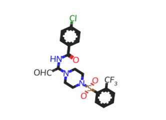 O=CC(NC(=O)c1ccc(Cl)cc1)N1CCN(S(=O)(=O)c2ccccc2C(F)(F)F)CC1